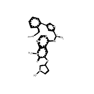 CNCc1ccccc1-c1csc([C@@H](C)Nc2ncnc3c2cc(OC2CCN(C)C2)c(=O)n3C)c1